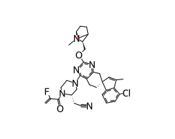 C=C(F)C(=O)N1CCN(c2nc(OC[C@@H]3C4CCC(C4)N3C)nc3c2CC[C@@]2(C=C(C)c4c(Cl)cccc42)C3)C[C@@H]1CC#N